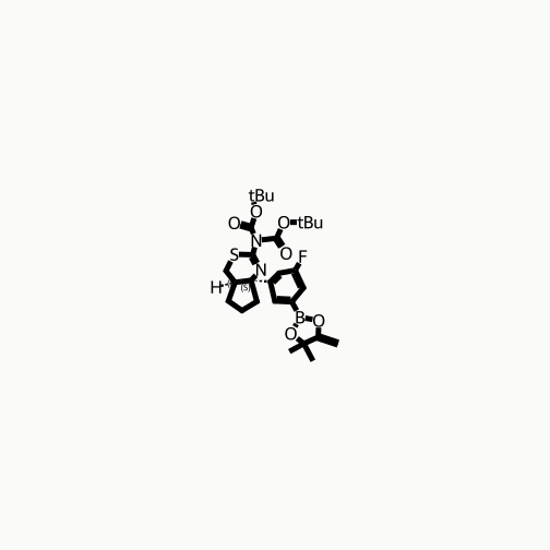 C=C1OB(c2cc(F)cc([C@]34CCC[C@H]3CSC(N(C(=O)OC(C)(C)C)C(=O)OC(C)(C)C)=N4)c2)OC1(C)C